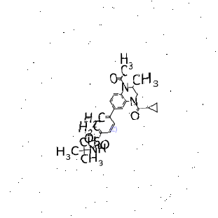 C=C(/C=C\C(=C)S(=O)(=O)NC(C)(C)C)c1ccc2c(c1)N(C(=O)C1CC1)CC(C)N2C(C)=O